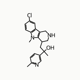 Cc1ccc(C(C)(O)CC2CNCc3c2n(C)c2ccc(Cl)cc32)cn1